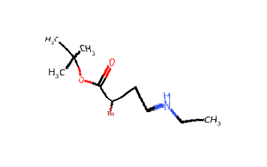 CCNCCC(Br)C(=O)OC(C)(C)C